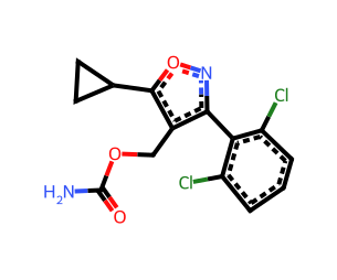 NC(=O)OCc1c(-c2c(Cl)cccc2Cl)noc1C1CC1